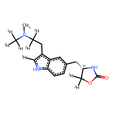 [2H]c1[nH]c2ccc(C[C@@H]3NC(=O)OC3([2H])[2H])cc2c1CC([2H])([2H])N(C)C([2H])([2H])[2H]